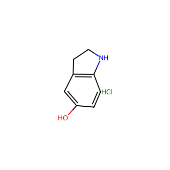 Cl.Oc1ccc2c(c1)CCN2